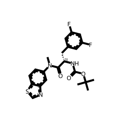 CN(C(=O)[C@H](Cc1cc(F)cc(F)c1)NC(=O)OC(C)(C)C)c1ccc2scnc2c1